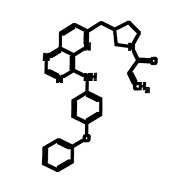 C=CC(=O)N1CCC(Cc2ccc3ncnc(Nc4ccc(Oc5ccccc5)cc4)c3n2)C1